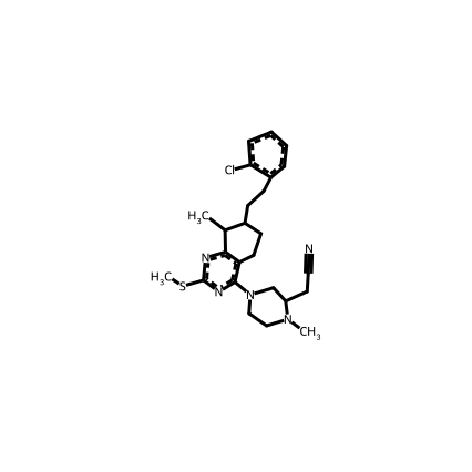 CSc1nc2c(c(N3CCN(C)C(CC#N)C3)n1)CCC(CCc1ccccc1Cl)C2C